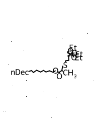 CCCCCCCCCCCCCCCCCCOC(=O)C(C)CSCCC[Si](OCC)(OCC)OCC